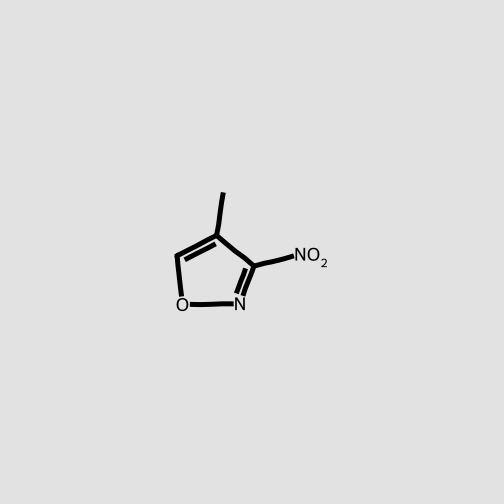 Cc1conc1[N+](=O)[O-]